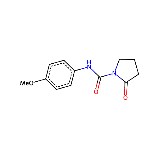 COc1ccc(NC(=O)N2CCCC2=O)cc1